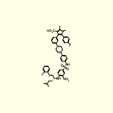 Cc1c(C(=O)O)c(-c2cccc(N3CCN(c4ccc(NS(=O)(=O)c5ccc(N[C@H](CCN(C)C)CSc6ccccc6F)c([N+](=O)[O-])c5)cc4)CC3)c2)c(-c2ccc(F)cc2)n1C